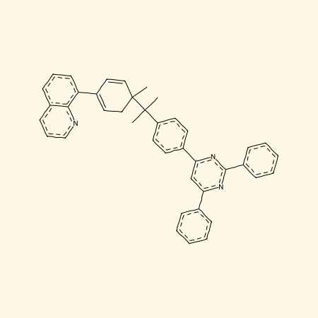 CC1(C(C)(C)c2ccc(-c3cc(-c4ccccc4)nc(-c4ccccc4)n3)cc2)C=CC(c2cccc3cccnc23)=CC1